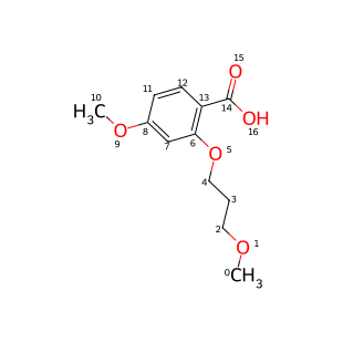 COCCCOc1cc(OC)ccc1C(=O)O